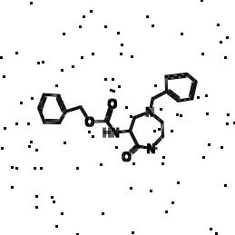 O=C(NC1CN(Cc2ccccc2)CC[N]C1=O)OCc1ccccc1